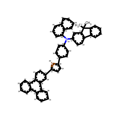 CC1(C)c2ccccc2-c2ccc(N(c3ccc(-c4ccc(-c5ccc6c7ccccc7c7ccccc7c6c5)s4)cc3)c3cccc4ccccc34)cc21